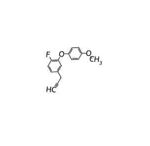 C#CCc1ccc(F)c(Oc2ccc(OC)cc2)c1